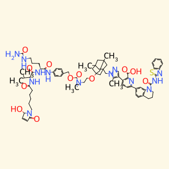 Cc1c(-c2ccc(-c3ccc4c(c3)N(C(=O)Nc3nc5ccccc5s3)CCC4)nc2C(=O)O)cnn1CC12CC3(C)CC(C)(C1)CC(OCCN(C)C(=O)OCc1ccc(NC(=O)[C@H](CCCNC(N)=O)NC(=O)[C@@H](NC(=O)CCCCCN4C(=O)C=CC4O)C(C)C)cc1)(C3)C2